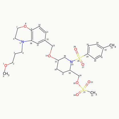 COCCCN1CCOc2ccc(COC3CCC(COS(C)(=O)=O)N(S(=O)(=O)c4ccc(C)cc4)C3)cc21